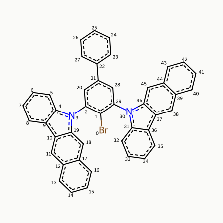 Brc1c(-n2c3ccccc3c3cc4ccccc4cc32)cc(-c2ccccc2)cc1-n1c2ccccc2c2cc3ccccc3cc21